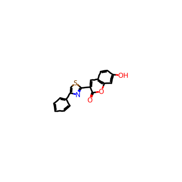 O=c1oc2cc(O)ccc2cc1-c1nc(-c2ccccc2)cs1